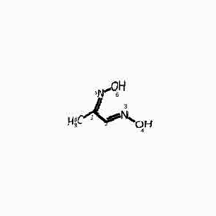 CC(C=NO)=NO